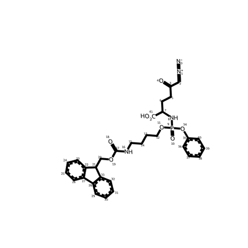 [N-]=[N+]=CC(=O)CCC(NP(=O)(OCCCCNC(=O)OCC1c2ccccc2-c2ccccc21)Oc1ccccc1)C(=O)O